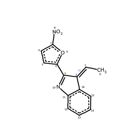 C/C=C1/C(c2ccc([N+](=O)[O-])o2)=Nc2ccccc21